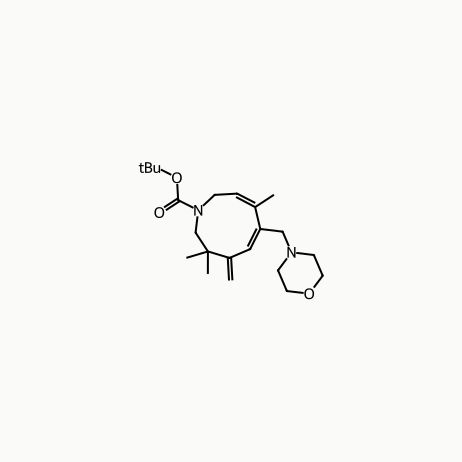 C=C1/C=C(CN2CCOCC2)\C(C)=C/CN(C(=O)OC(C)(C)C)CC1(C)C